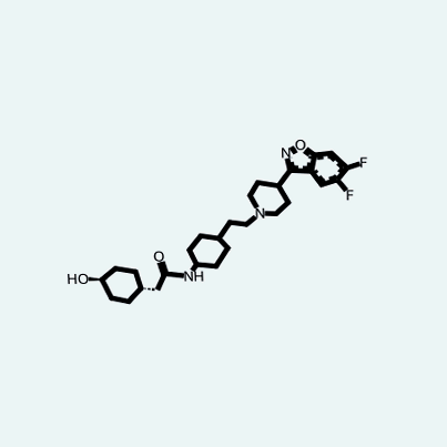 O=C(C[C@H]1CC[C@H](O)CC1)NC1CCC(CCN2CCC(c3noc4cc(F)c(F)cc34)CC2)CC1